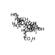 CC1(C)CC(C(CCCCCCCC(=O)O)(C(=O)O)C2CC(C)(C)N(OCCCO)C(C)(C)C2)CC(C)(C)N1OCCCO